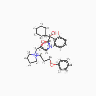 O[C@@](c1ccccc1)(c1ncc(C[N+]2(CCCOc3ccccc3)CCCC2)o1)C1CCCCC1